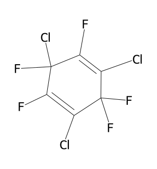 FC1=C(Cl)C(F)(F)C(Cl)=C(F)C1(F)Cl